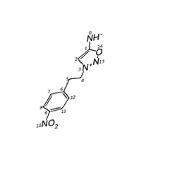 [NH-]c1c[n+](CCc2ccc([N+](=O)[O-])cc2)no1